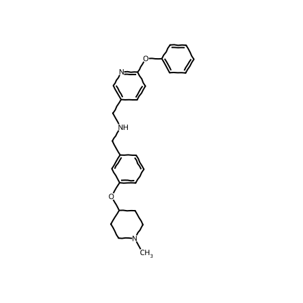 CN1CCC(Oc2cccc(CNCc3ccc(Oc4ccccc4)nc3)c2)CC1